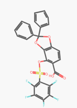 O=C(O)c1ccc2c(c1OS(=O)(=O)c1c(F)c(F)c(F)c(F)c1F)OC(c1ccccc1)(c1ccccc1)O2